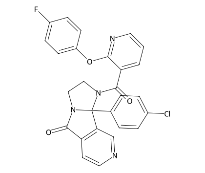 O=C1c2ccncc2C2(c3ccc(Cl)cc3)N1CCN2C(=O)c1cccnc1Oc1ccc(F)cc1